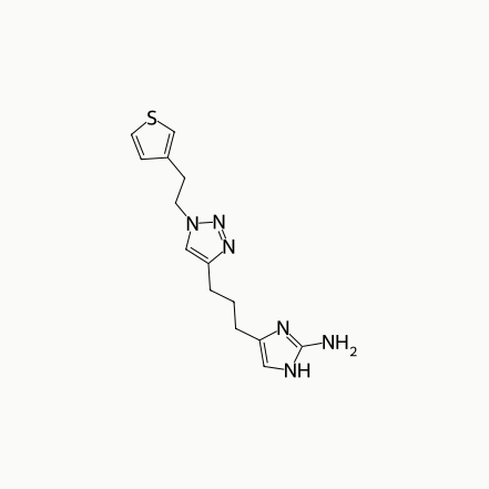 Nc1nc(CCCc2cn(CCc3ccsc3)nn2)c[nH]1